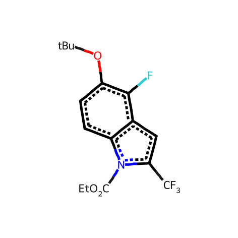 CCOC(=O)n1c(C(F)(F)F)cc2c(F)c(OC(C)(C)C)ccc21